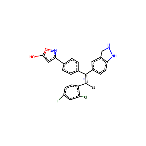 CC/C(=C(/c1ccc(-c2cc(O)on2)cc1)c1ccc2c(c1)CNN2)c1ccc(F)cc1Cl